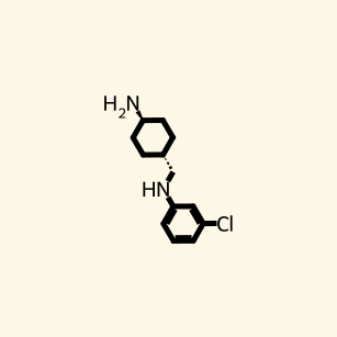 N[C@H]1CC[C@H](CNc2cccc(Cl)c2)CC1